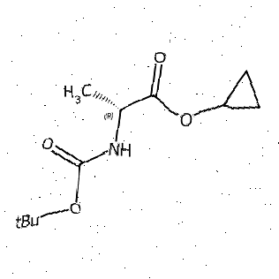 C[C@@H](NC(=O)OC(C)(C)C)C(=O)OC1CC1